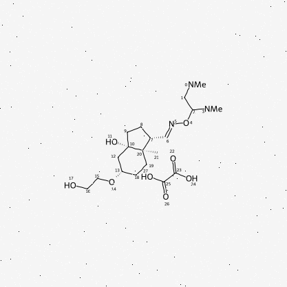 CNCC(NC)ON=C[C@H]1CC[C@]2(O)C[C@@H](OCCO)CC[C@]12C.O=C(O)C(=O)O